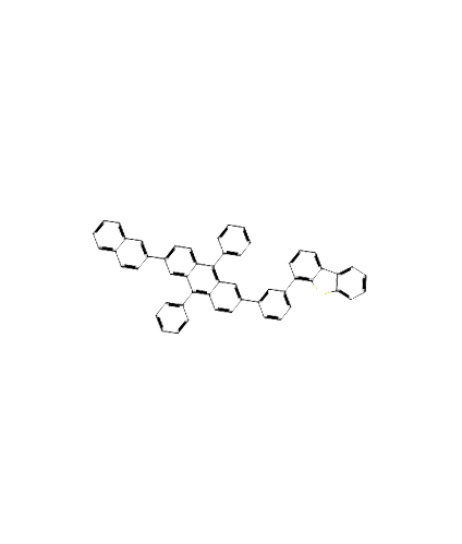 c1ccc(-c2c3ccc(-c4ccc5ccccc5c4)cc3c(-c3ccccc3)c3ccc(-c4cccc(-c5cccc6c5sc5ccccc56)c4)cc23)cc1